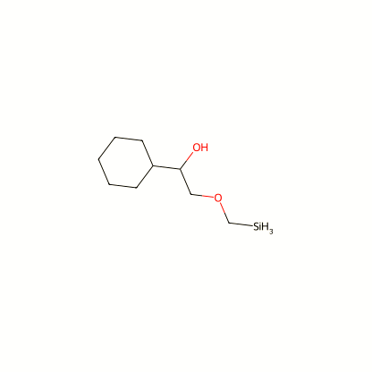 OC(COC[SiH3])C1CCCCC1